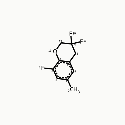 Cc1cc(F)c2c(c1)CC(F)(F)CO2